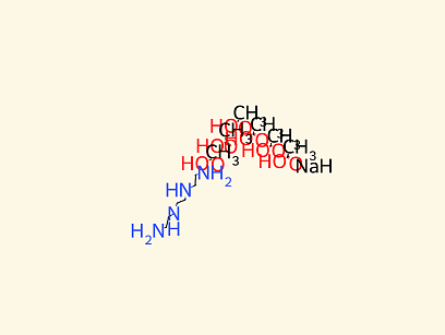 CC(=O)O.CC(=O)O.CC(=O)O.CC(=O)O.CC(=O)O.CC(=O)O.NCCNCCNCCN.[NaH]